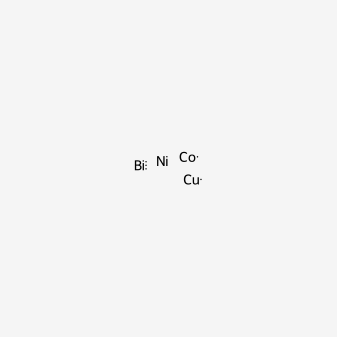 [Bi].[Co].[Cu].[Ni]